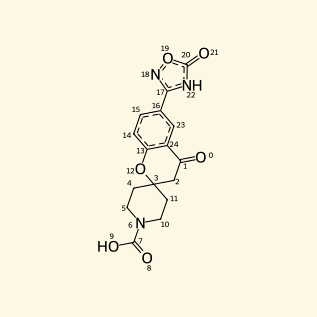 O=C1CC2(CCN(C(=O)O)CC2)Oc2ccc(-c3noc(=O)[nH]3)cc21